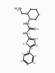 NCC1CCCCN1NC(=O)Nc1ncc(-c2ccccc2)s1